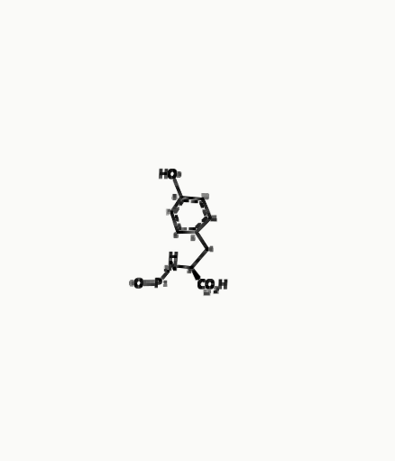 O=PN[C@@H](Cc1ccc(O)cc1)C(=O)O